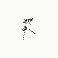 CCCCCCCCCCCC(=O)OC[C@H](CSC[C@H](N)C(=O)NC1(COCCCP(=O)(OCC)OCC)CC1)OC(=O)CCCCCCCCCCC